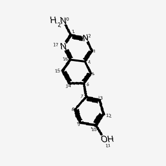 Nc1ncc2cc(-c3ccc(O)cc3)ccc2n1